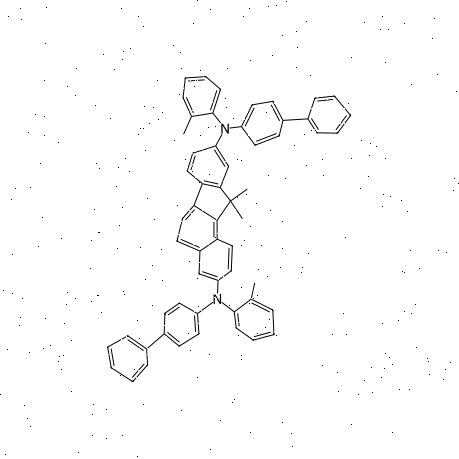 Cc1ccccc1N(c1ccc(-c2ccccc2)cc1)c1ccc2c(c1)C(C)(C)c1c-2ccc2cc(N(c3ccc(-c4ccccc4)cc3)c3ccccc3C)ccc12